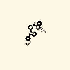 COC(=O)c1ccccc1NC(=O)N1CCCC(c2nc(-c3cccc(OC)c3)c3ccccn23)C1